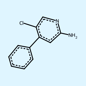 Nc1cc(-c2ccccc2)c(Cl)cn1